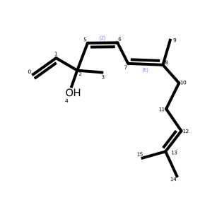 C=CC(C)(O)/C=C\C=C(/C)CCC=C(C)C